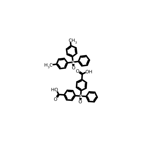 Cc1ccc(P(=O)(c2ccccc2)c2ccc(C)cc2)cc1.O=C(O)c1ccc(P(=O)(c2ccccc2)c2ccc(C(=O)O)cc2)cc1